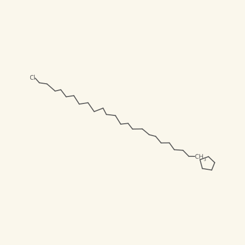 C1CCCC1.CCCCCCCCCCCCCCCCCCCCCCCCCl